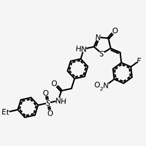 CCc1ccc(S(=O)(=O)NC(=O)Cc2ccc(NC3=NC(=O)/C(=C/c4cc([N+](=O)[O-])ccc4F)S3)cc2)cc1